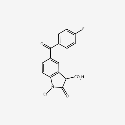 CCN1C(=O)C(C(=O)O)c2cc(C(=O)c3ccc(F)cc3)ccc21